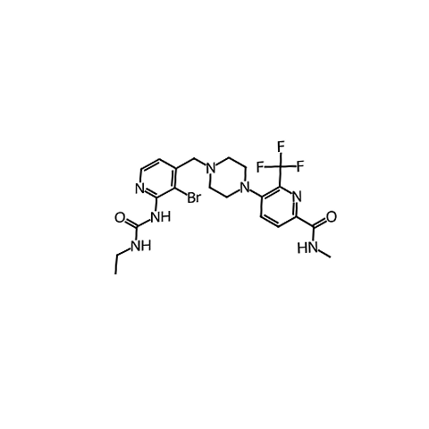 CCNC(=O)Nc1nccc(CN2CCN(c3ccc(C(=O)NC)nc3C(F)(F)F)CC2)c1Br